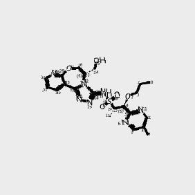 CCCO[C@@H](c1ncc(C)cn1)[C@H](C)S(=O)(=O)Nc1nnc2n1[C@@H](CO)COc1ncccc1-2